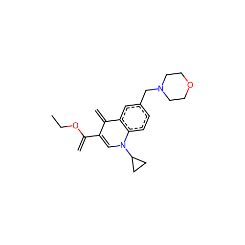 C=C(OCC)C1=CN(C2CC2)c2ccc(CN3CCOCC3)cc2C1=C